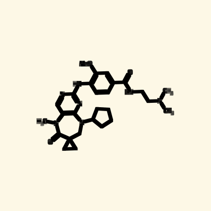 COc1cc(C(=O)NCCN(C)C)ccc1Nc1ncc2c(n1)N(C1CCCC1)CC1(CC1)C(=O)N2C